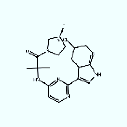 CC(C)(Nc1ccnc(C2=CNC3=NCC(Cl)CC23)n1)C(=O)N1CC[C@H](F)C1